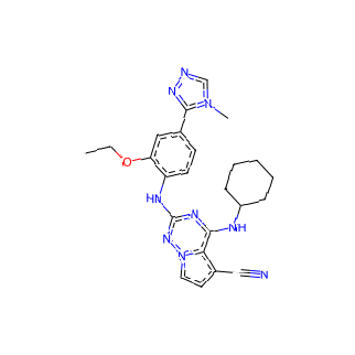 CCOc1cc(-c2nncn2C)ccc1Nc1nc(NC2CCCCC2)c2c(C#N)ccn2n1